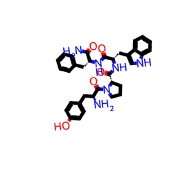 NC(=O)[C@@H](Cc1ccccc1)NC(=O)[C@H](Cc1c[nH]c2ccccc12)NC(=O)[C@@H]1CCCN1C(=O)[C@@H](N)Cc1ccc(O)cc1